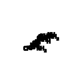 CNC(=O)[C@H](CCCCNC(=N)N)NC(=O)c1csc([C@@H]2C[C@@H](N)CN2C(=O)C2=NC3C=C(Cl)C=CC3S2)n1